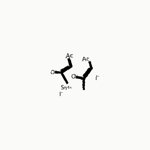 CC(=O)/C=C(/C)[O-].CC(=O)/C=C(/C)[O-].[I-].[I-].[Sn+4]